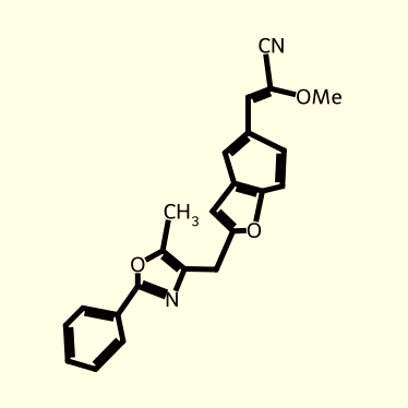 CO/C(C#N)=C\c1ccc2oc(Cc3nc(-c4ccccc4)oc3C)cc2c1